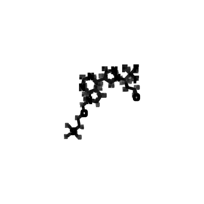 C[Si](C)(C)CCOCn1ccc2c(-c3cnn([C@H](CC=O)C(F)(F)F)c3)ncnc21